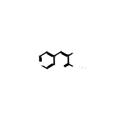 COC(=O)C(=Cc1ccncc1)C(C)=O